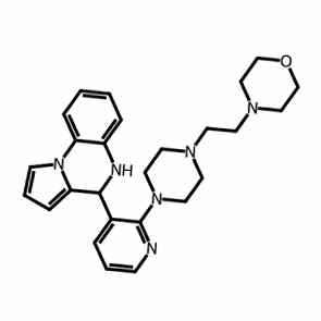 c1ccc2c(c1)NC(c1cccnc1N1CCN(CCN3CCOCC3)CC1)c1cccn1-2